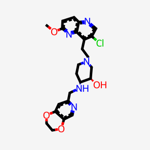 COc1ccc2ncc(Cl)c(CCN3CC[C@@H](NCc4cc5c(cn4)OCCO5)[C@H](O)C3)c2n1